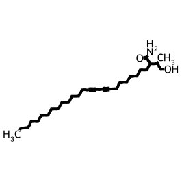 CCCCCCCCCCCCCCC#CC#CCCCCCCCC(C(N)=O)C(C)CO